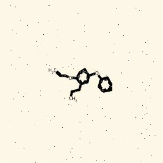 C=CCOc1ccc(Oc2ccccc2)cc1CCC